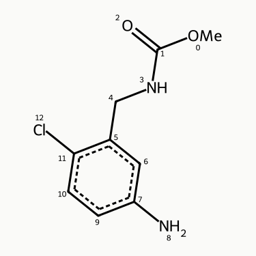 COC(=O)NCc1cc(N)ccc1Cl